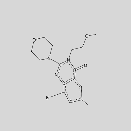 COCCn1c(N2CCOCC2)nc2c(Br)cc(C)cc2c1=O